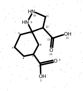 O=C(O)C1CCCC2(C1)NNCC2C(=O)O